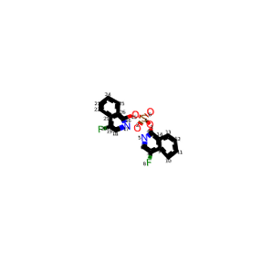 O=S(=O)(Oc1ncc(F)c2ccccc12)Oc1ncc(F)c2ccccc12